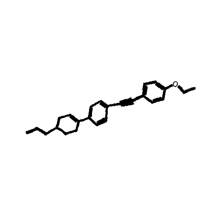 CCCC1CC=C(c2ccc(C#Cc3ccc(OCC)cc3)cc2)CC1